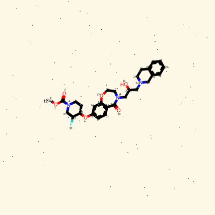 CC(C)(C)OC(=O)N1CCC(Oc2ccc3c(c2)OCCN(CC(O)CN2CCc4ccccc4C2)C3=O)C(F)C1